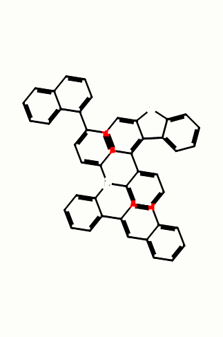 c1ccc(N(c2ccc(-c3cccc4ccccc34)cc2)c2ccccc2-c2cccc3sc4ccccc4c23)c(-c2ccc3ccccc3c2)c1